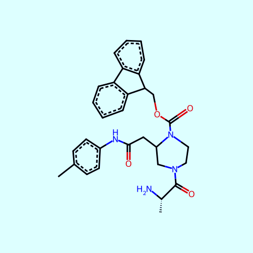 Cc1ccc(NC(=O)CC2CN(C(=O)[C@H](C)N)CCN2C(=O)OCC2c3ccccc3-c3ccccc32)cc1